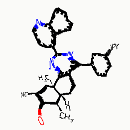 CC(C)c1cccc(-c2nc(-c3ccnc4ccccc34)nc3c2CC[C@@H]2[C@@H](C)C(=O)C(C#N)=C[C@@]32C)c1